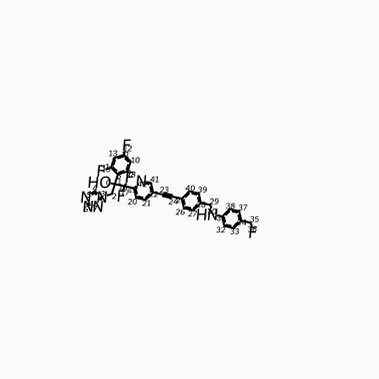 OC(Cn1cnnn1)(c1ccc(F)cc1F)C(F)(F)c1ccc(C#Cc2ccc(CNc3ccc(CF)cc3)cc2)cn1